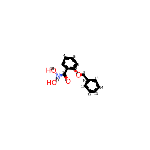 O=C(c1ccccc1OCc1ccccc1)N(O)O